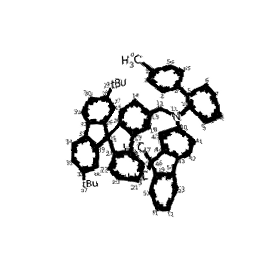 Cc1ccc(-c2ccccc2N(Cc2ccc3c(c2)-c2ccccc2C32c3cc(C(C)(C)C)ccc3-c3ccc(C(C)(C)C)cc32)c2ccc3c(c2)C(C)(C)c2ccccc2-3)cc1